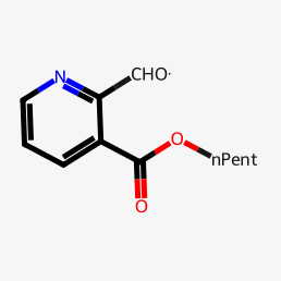 CCCCCOC(=O)c1cccnc1[C]=O